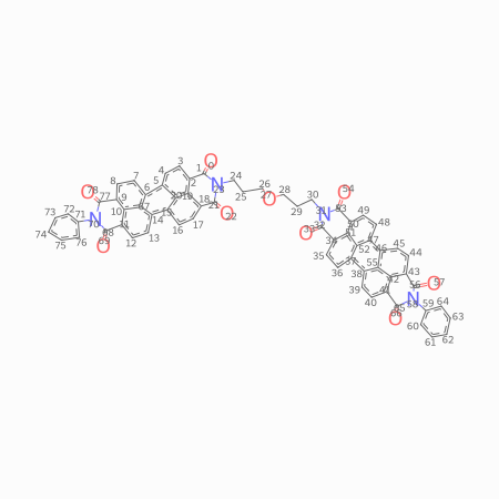 O=C1c2ccc3c4ccc5c6c(ccc(c7ccc(c2c37)C(=O)N1CCCOCCCN1C(=O)c2ccc3c7ccc8c9c(ccc(c%10ccc(c2c3%10)C1=O)c97)C(=O)N(c1ccccc1)C8=O)c64)C(=O)N(c1ccccc1)C5=O